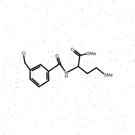 COC(=O)C(CCSC)NC(=O)c1cccc(CCl)c1